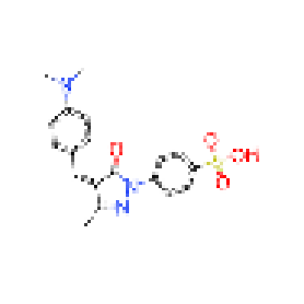 CC1=NN(c2ccc(S(=O)(=O)O)cc2)C(=O)C1=Cc1ccc(N(C)C)cc1